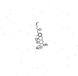 C/C=C\CCC(=O)Cc1ccc2c(c1C)C(=O)CC(CC(CCC)C(CC)C(=O)CC(C)=O)C2